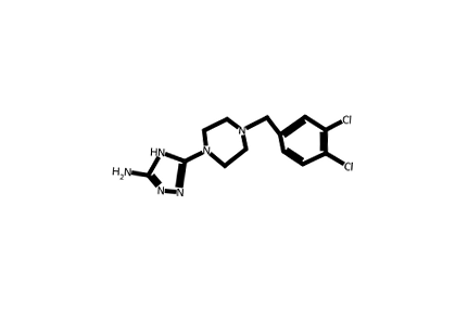 Nc1nnc(N2CCN(Cc3ccc(Cl)c(Cl)c3)CC2)[nH]1